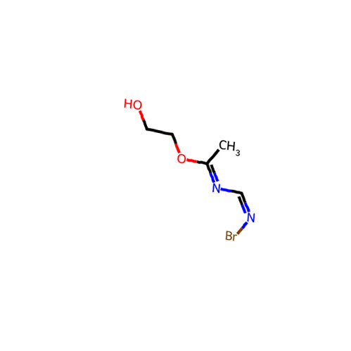 C/C(=N\C=N/Br)OCCO